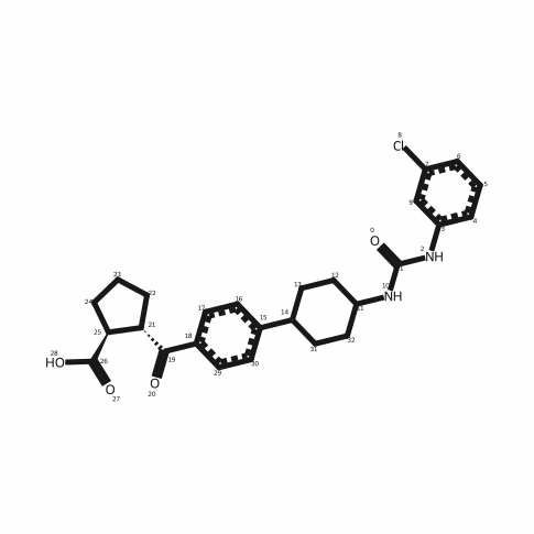 O=C(Nc1cccc(Cl)c1)NC1CCC(c2ccc(C(=O)[C@H]3CCC[C@@H]3C(=O)O)cc2)CC1